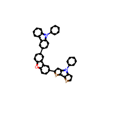 c1ccc(-n2c3ccccc3c3cc(-c4ccc5oc6ccc(-c7cc8c(s7)c7sccc7n8-c7ccccc7)cc6c5c4)ccc32)cc1